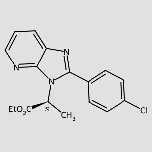 CCOC(=O)[C@H](C)n1c(-c2ccc(Cl)cc2)nc2cccnc21